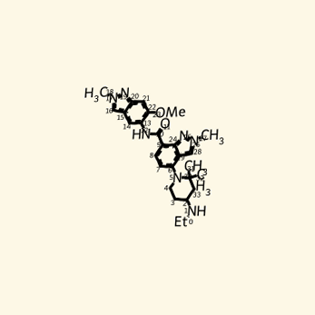 CCNC1CCN(c2ccc(C(=O)Nc3cc4cn(C)nc4cc3OC)c3nn(C)cc23)C(C)(C)C1